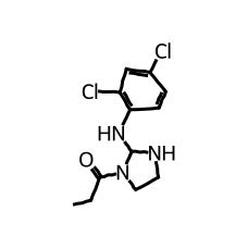 CCC(=O)N1CCNC1Nc1ccc(Cl)cc1Cl